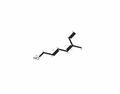 C=C/C(C)=C\C=C\CO